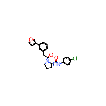 O=C(Nc1ccc(Cl)cc1)[C@@H]1CCCN1C(=O)Cc1cccc(-c2ccoc2)c1